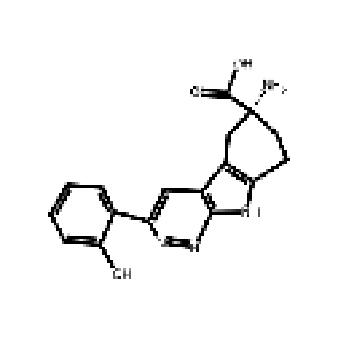 N[C@]1(C(=O)O)CCc2[nH]c3nnc(-c4ccccc4O)cc3c2C1